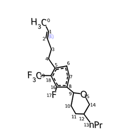 C/C=C/CCc1ccc(C2CCC(CCC)CO2)c(F)c1C(F)(F)F